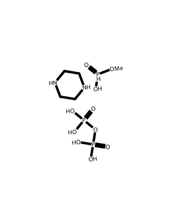 C1CNCCN1.CO[PH](=O)O.O=P(O)(O)OP(=O)(O)O